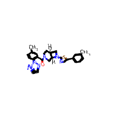 Cc1cccc(-c2cnc(N3C[C@@H]4CCN(C(=O)c5cc(C)ccc5-n5nccn5)C[C@@H]43)s2)c1